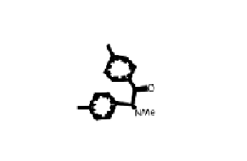 CNC(C(=O)c1ccc(C)cc1)c1ccc(C)cc1